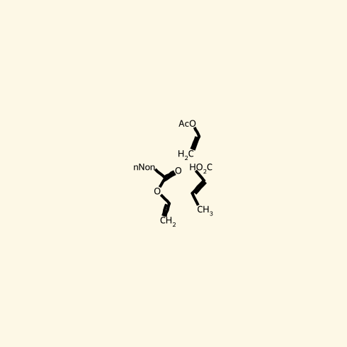 C/C=C/C(=O)O.C=COC(=O)CCCCCCCCC.C=COC(C)=O